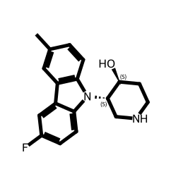 Cc1ccc2c(c1)c1cc(F)ccc1n2[C@H]1CNCC[C@@H]1O